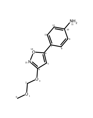 COCOc1cc(-c2ccc(N)cc2)on1